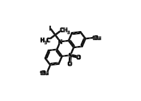 CC(C)(C)c1ccc2c(c1)S(=O)(=O)c1cc(C(C)(C)C)ccc1N2C(C)(C)I